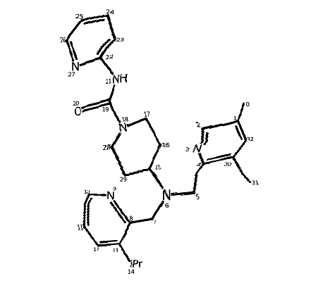 Cc1cnc(CN(Cc2ncccc2C(C)C)C2CCN(C(=O)Nc3ccccn3)CC2)c(C)c1